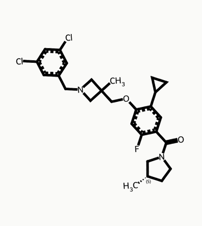 C[C@H]1CCN(C(=O)c2cc(C3CC3)c(OCC3(C)CN(Cc4cc(Cl)cc(Cl)c4)C3)cc2F)C1